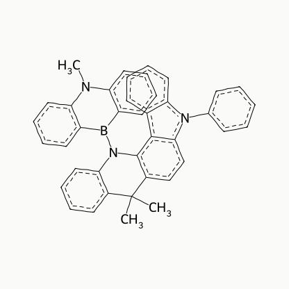 CN1c2ccccc2B(N2c3ccccc3C(C)(C)c3ccc4c(c32)c2ccccc2n4-c2ccccc2)c2ccccc21